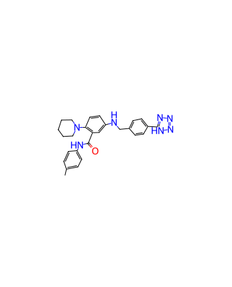 Cc1ccc(NC(=O)c2cc(NCc3ccc(-c4nnn[nH]4)cc3)ccc2N2CCCCC2)cc1